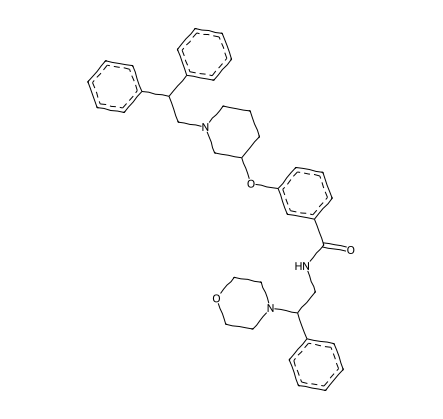 O=C(NCC(c1ccccc1)N1CCOCC1)c1cccc(OC2CCCN(CC(c3ccccc3)c3ccccc3)C2)c1